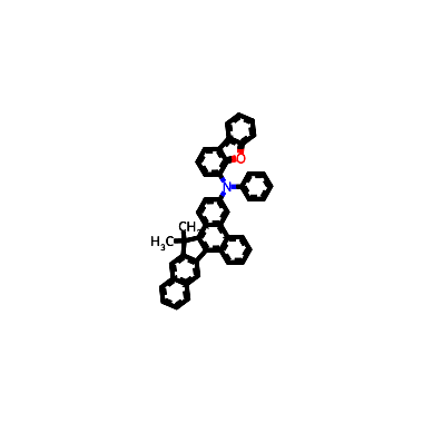 CC1(C)c2cc3ccccc3cc2-c2c1c1ccc(N(c3ccccc3)c3cccc4c3oc3ccccc34)cc1c1ccccc21